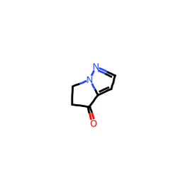 O=C1CCn2nccc21